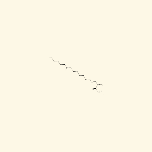 CCCCCCC(O)CCCCCCCCCC(CC)C(N)=O